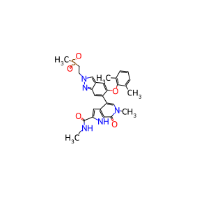 CCNC(=O)c1cc2c(-c3cc4nn(CCS(C)(=O)=O)cc4cc3Oc3c(C)cccc3C)cn(C)c(=O)c2[nH]1